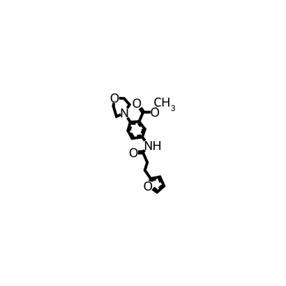 COC(=O)c1cc(NC(=O)CCc2ccco2)ccc1N1CCOCC1